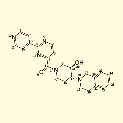 O=C(c1ccnc(-c2ccncc2)n1)N1CC[C@@H](N2CCc3ccccc3C2)[C@H](O)C1